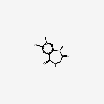 Cc1cc2c(cc1Cl)C(=O)NCC(=O)N2C